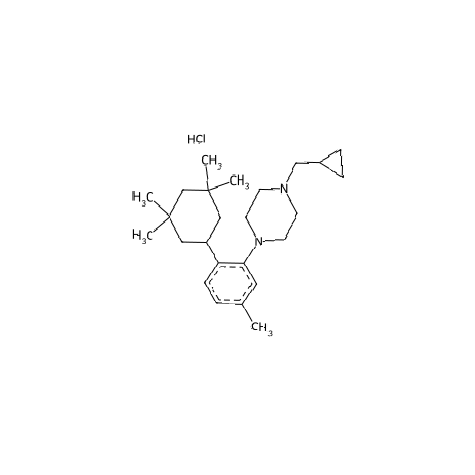 Cc1ccc(C2CC(C)(C)CC(C)(C)C2)c(N2CCN(CC3CC3)CC2)c1.Cl